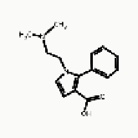 CN(C)CCn1ccc(C(=O)O)c1-c1ccccc1